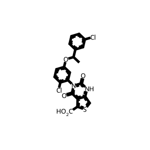 CC(Oc1ccc(Cl)c(-n2c(=O)[nH]c3csc(C(=O)O)c3c2=O)c1)c1cccc(Cl)c1